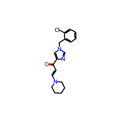 O=C(C=CN1CCCCC1)c1cn(Cc2ccccc2Cl)cn1